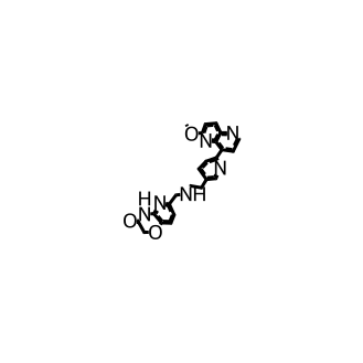 COc1ccc2nccc(-c3ccc(CCNCc4ccc5c(n4)NC(=O)CO5)cn3)c2n1